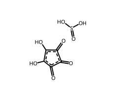 O=S(O)O.O=c1c(O)c(O)c(=O)c1=O